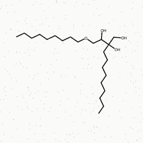 CCCCCCCCCOCC(O)C(O)(CO)CCCCCCCCC